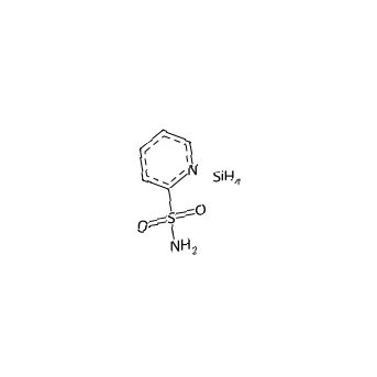 NS(=O)(=O)c1ccccn1.[SiH4]